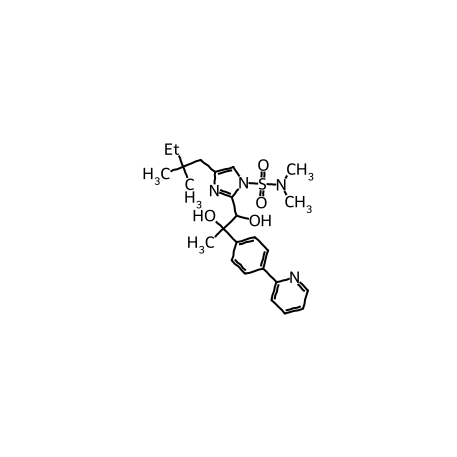 CCC(C)(C)Cc1cn(S(=O)(=O)N(C)C)c(C(O)C(C)(O)c2ccc(-c3ccccn3)cc2)n1